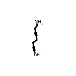 CCCC#CCCC#CCCN